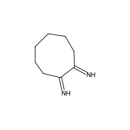 N=C1CCCCCCC1=N